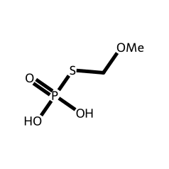 COCSP(=O)(O)O